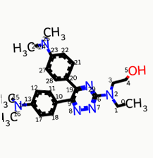 CCN(CCO)c1nnc(-c2ccc(N(C)C)cc2)c(-c2ccc(N(C)C)cc2)n1